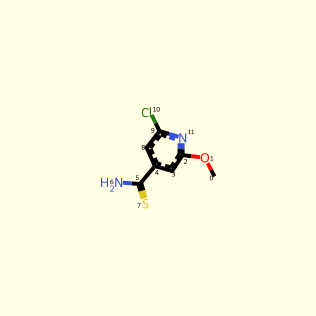 COc1cc(C(N)=S)cc(Cl)n1